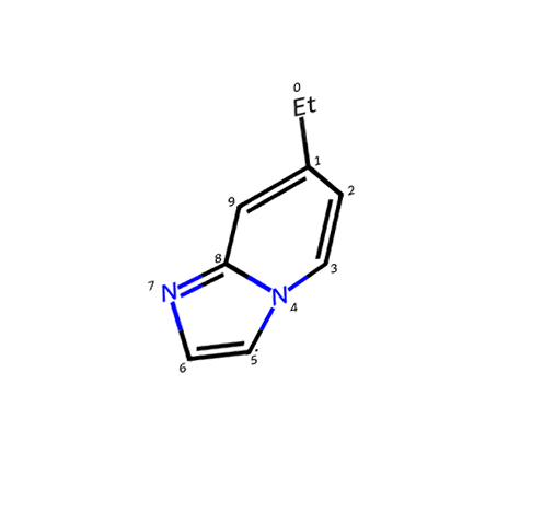 CCc1ccn2[c]cnc2c1